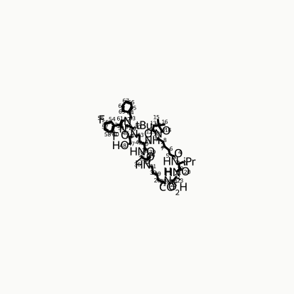 CC(C)C(NC(=O)CCCCCN1C(=O)CC(C)(C)C1=O)C(=O)N[C@@H](C)C(=O)N[C@@H](CCCCNC(=O)[C@@H](C)NC(=O)[C@@H](N)CCN(C(=O)CO)[C@@H](c1nc(-c2cc(F)ccc2F)cn1Cc1ccccc1)C(C)(C)C)C(=O)O